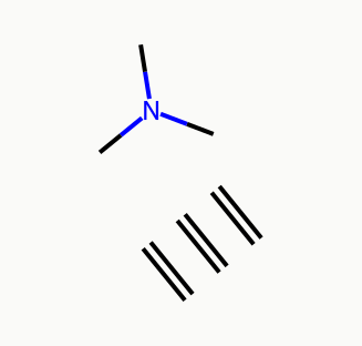 C=C.C=C.C=C.CN(C)C